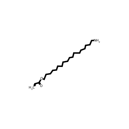 C=CC(=O)OCCCCCCCCCCCCCCCCCCN